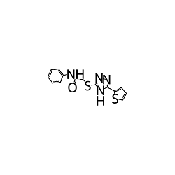 O=C(CSc1nnc(-c2cccs2)[nH]1)Nc1ccccc1